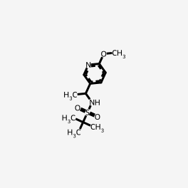 COc1ccc(C(C)NS(=O)(=O)C(C)(C)C)cn1